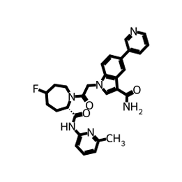 Cc1cccc(NC(=O)[C@@H]2CCC(F)CCN2C(=O)Cn2cc(C(N)=O)c3cc(-c4cccnc4)ccc32)n1